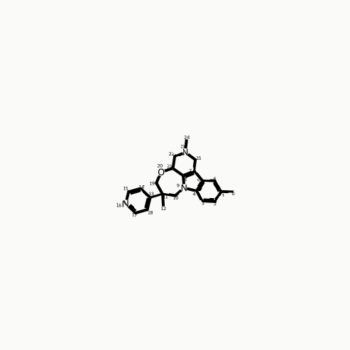 Cc1ccc2c(c1)c1c3n2CC(C)(c2ccncc2)COC3CN(C)C1